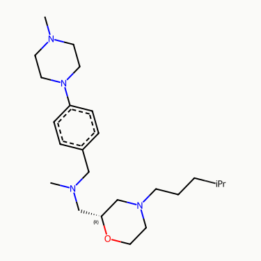 CC(C)CCCN1CCO[C@H](CN(C)Cc2ccc(N3CCN(C)CC3)cc2)C1